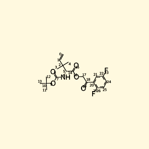 C=CC(C)(C)[C@@H](NC(=O)OC(C)(C)C)C(=O)OCC(=O)c1cc(F)ccc1F